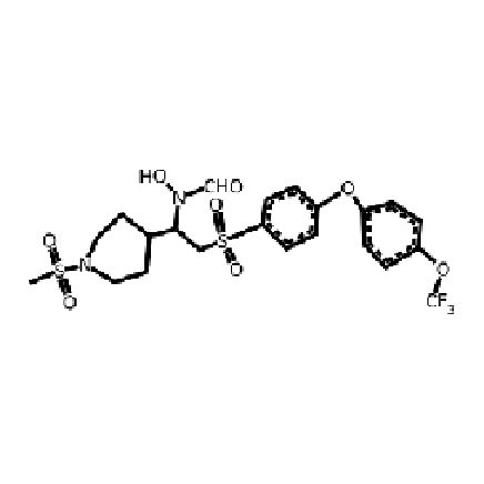 CS(=O)(=O)N1CCC(C(CS(=O)(=O)c2ccc(Oc3ccc(OC(F)(F)F)cc3)cc2)N(O)C=O)CC1